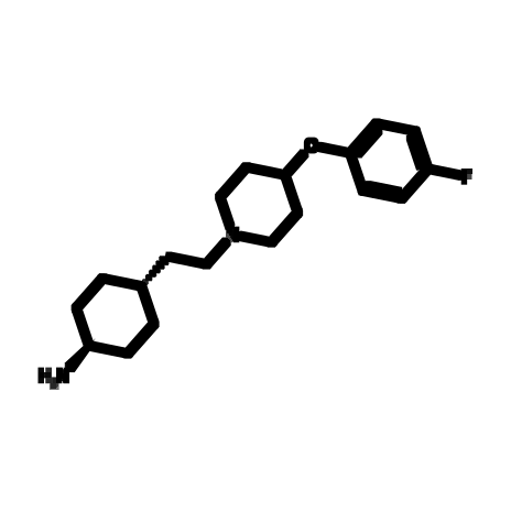 N[C@H]1CC[C@H](CCN2CCC(Oc3ccc(F)cc3)CC2)CC1